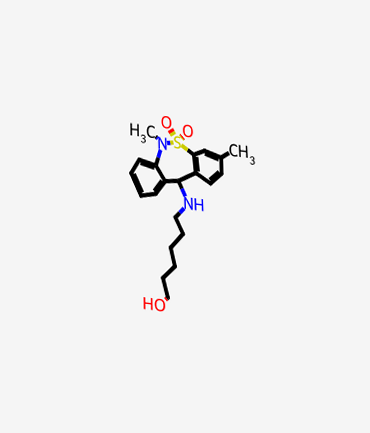 Cc1ccc2c(c1)S(=O)(=O)N(C)c1ccccc1C2NCCCCCCO